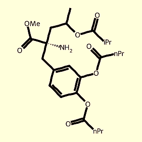 CCCC(=O)Oc1ccc(C[C@](N)(CC(C)OC(=O)C(C)C)C(=O)OC)cc1OC(=O)CCC